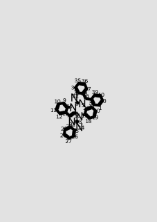 c1ccc(-c2nc(-n3c4ccccc4c4c3n(-c3ccccc3)c3nc5ccccc5n43)nc3ccccc23)cc1